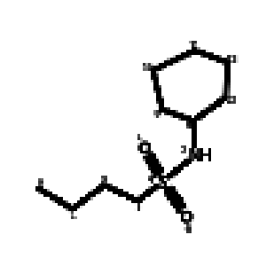 CCCCS(=O)(=O)NC1CCCCC1